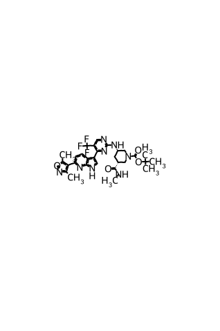 CNC(=O)[C@@H]1C[C@H](Nc2ncc(C(F)(F)F)c(-c3c[nH]c4nc(-c5c(C)noc5C)ccc34)n2)CN(C(=O)OC(C)(C)C)C1